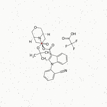 CC(C)(C)OC(=O)N1[C@@H]2COC[C@H]1C[C@@H](OC(=O)c1cn(-c3ccccc3C#N)c3ccccc13)C2.O=C(O)C(F)(F)F